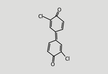 O=C1C=C/C(=C2/C=CC(=O)C(Cl)=C2)C=C1Cl